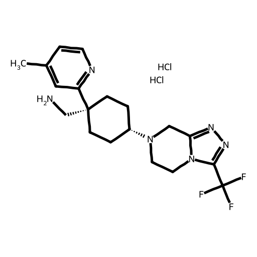 Cc1ccnc([C@]2(CN)CC[C@@H](N3CCn4c(nnc4C(F)(F)F)C3)CC2)c1.Cl.Cl